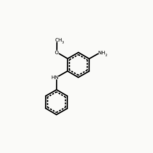 COc1cc(N)ccc1Nc1ccccc1